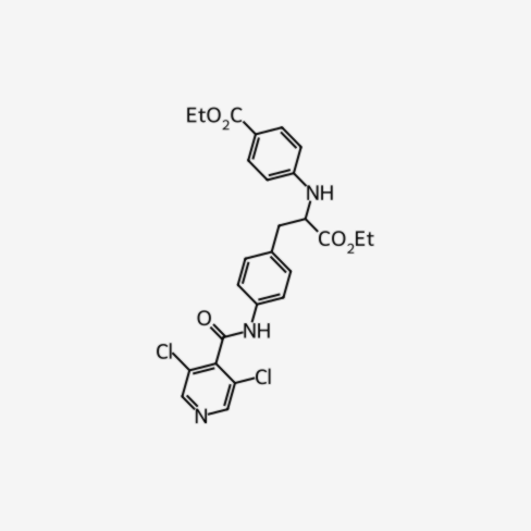 CCOC(=O)c1ccc(NC(Cc2ccc(NC(=O)c3c(Cl)cncc3Cl)cc2)C(=O)OCC)cc1